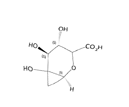 O=C(O)C1O[C@H]2CC2(O)[C@@H](O)[C@@H]1O